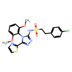 COc1cccc(OC)c1-n1c(NS(=O)(=O)CCc2ccc(Cl)cc2)nnc1-c1nccs1